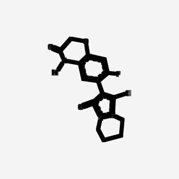 CCN1C(=O)COc2cc(F)c(-c3c(Cl)n4n(c3=O)CCCC4)cc21